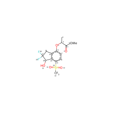 COC(=O)C(C)Oc1ccc(S(=O)(=O)C(F)(F)F)c2c1CC(F)(F)C2O